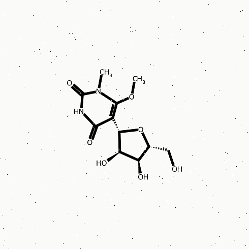 COc1c([C@@H]2O[C@H](CO)[C@@H](O)[C@H]2O)c(=O)[nH]c(=O)n1C